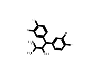 [CH2]C(N)C(O)C(c1ccc(Cl)c(F)c1)c1ccc(Cl)c(F)c1